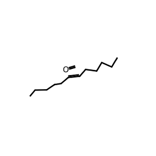 C=O.CCCCCC=CCCCCC